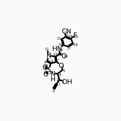 C#CC(O)C1COc2c(cn(C)c2C(=O)Nc2ccc(F)c(C#N)c2)S(=O)(=O)N1